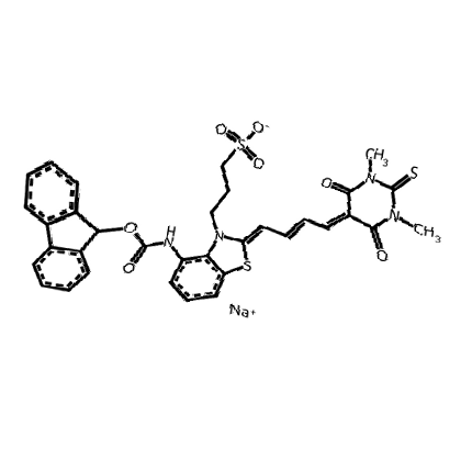 CN1C(=O)C(=C/C=C/C=C2\Sc3cccc(NC(=O)OC4c5ccccc5-c5ccccc54)c3N2CCCS(=O)(=O)[O-])C(=O)N(C)C1=S.[Na+]